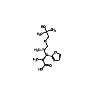 C[C@H](COCC(C)(C)O)[C@@H](c1ccco1)N(C)C(=O)O